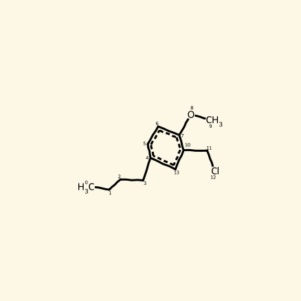 CCCCc1ccc(OC)c(CCl)c1